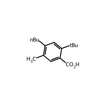 CCCCc1cc(C(C)(C)C)c(C(=O)O)cc1C